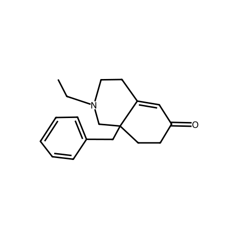 CCN1CCC2=CC(=O)CCC2(Cc2ccccc2)C1